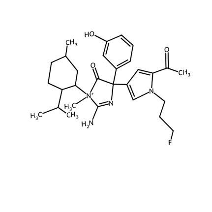 CC(=O)c1cc(C2(c3cccc(O)c3)N=C(N)[N+](C)(C3CC(C)CCC3C(C)C)C2=O)cn1CCCF